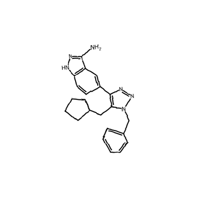 Nc1n[nH]c2ccc(-c3nnn(Cc4ccccc4)c3CC3CCCC3)cc12